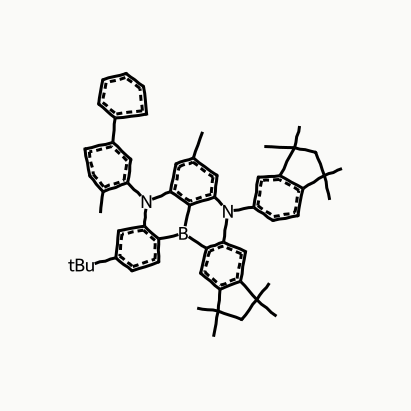 Cc1cc2c3c(c1)N(c1cc(-c4ccccc4)ccc1C)c1cc(C(C)(C)C)ccc1B3c1cc3c(cc1N2c1ccc2c(c1)C(C)(C)CC2(C)C)C(C)(C)CC3(C)C